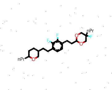 CCCC1CCC(CCc2ccc(CCC3OCC(F)(CCC)CO3)c(F)c2F)CO1